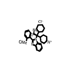 COc1ccccc1-c1nc2ccccc2n1C(C(N)=O)(C1CCCCC1)C1CCCCC1.[Cl-].[H+]